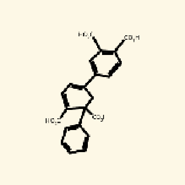 O=C(O)C1=CC=C(c2ccc(C(=O)O)c(C(=O)O)c2)CC1(C(=O)O)c1ccccc1